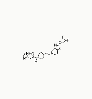 O=C(Cc1ncc[nH]1)N[C@H]1CC[C@H](CCN2CCc3sc(OCC(F)F)nc3C2)CC1